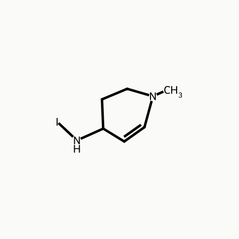 CN1C=CC(NI)CC1